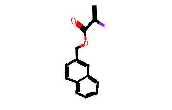 C=C(I)C(=O)OCc1ccc2ccccc2c1